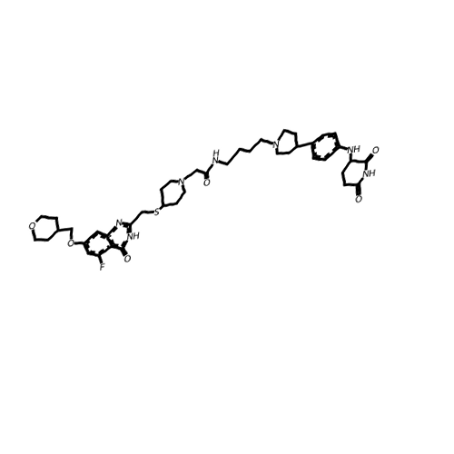 O=C(CN1CCC(SCc2nc3cc(OCC4CCOCC4)cc(F)c3c(=O)[nH]2)CC1)NCCCCN1CCC(c2ccc(NC3CCC(=O)NC3=O)cc2)CC1